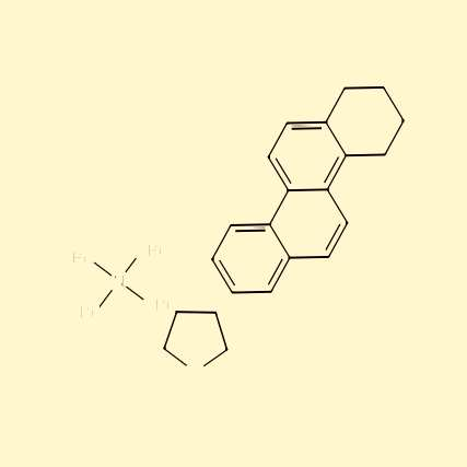 C1CCOC1.CCCC[N+](CCCC)(CCCC)CCCC.c1ccc2c(c1)ccc1c3c(ccc12)CCCC3